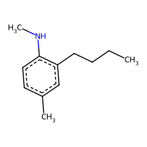 CCCCc1cc(C)ccc1NC